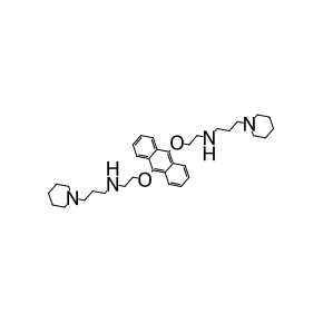 c1ccc2c(OCCNCCCN3CCCCC3)c3ccccc3c(OCCNCCCN3CCCCC3)c2c1